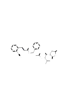 CC(C)[C@H](NC(=O)C[C@H](NC(=O)/C=C/c1ccccc1C#N)c1ccccc1)C(=O)[C@@H]1C(=O)NC(=O)[C@H]1C